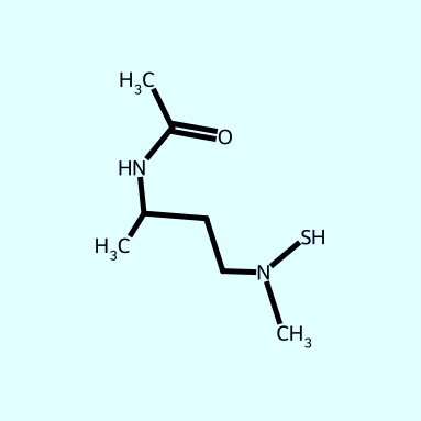 CC(=O)NC(C)CCN(C)S